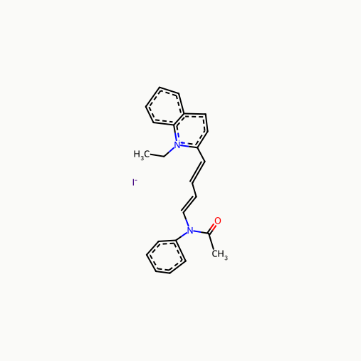 CC[n+]1c(C=CC=CN(C(C)=O)c2ccccc2)ccc2ccccc21.[I-]